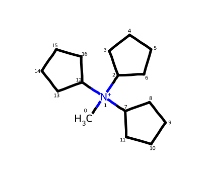 C[N+](C1CCCC1)(C1CCCC1)C1CCCC1